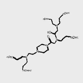 CCCCCCCCCCCCN(CCCCCCCCCCCC)CCN1CCN(C(=O)CN(CCCCCCCCCCCC)C(O)CN(CCCCCCCCCCCC)CCCCCCCCCCCC)CC1